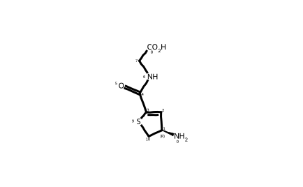 N[C@@H]1C=C(C(=O)NCC(=O)O)SC1